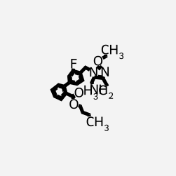 CCCCOC(=O)c1ccccc1-c1ccc(Cn2c(OCC)nc(CC)c2CN)c(F)c1